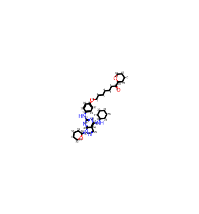 O=C(CCCCCCOc1ccc(Nc2nc(NC3CCCCC3)c3cnn(C4CCCCO4)c3n2)cc1)C1CCCCO1